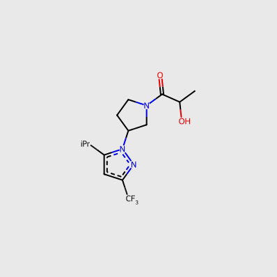 CC(O)C(=O)N1CCC(n2nc(C(F)(F)F)cc2C(C)C)C1